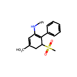 CCCNC1=C(c2ccccc2)C(S(C)(=O)=O)CC(C(=O)O)=C1